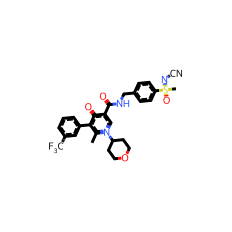 Cc1c(-c2cccc(C(F)(F)F)c2)c(=O)c(C(=O)NCc2ccc(S(C)(=O)=NC#N)cc2)cn1C1CCOCC1